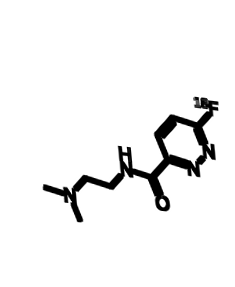 CN(C)CCNC(=O)c1ccc([18F])nn1